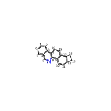 c1ccc2c(c1)cnc1c3ccc4c(c3ccc21)CC4